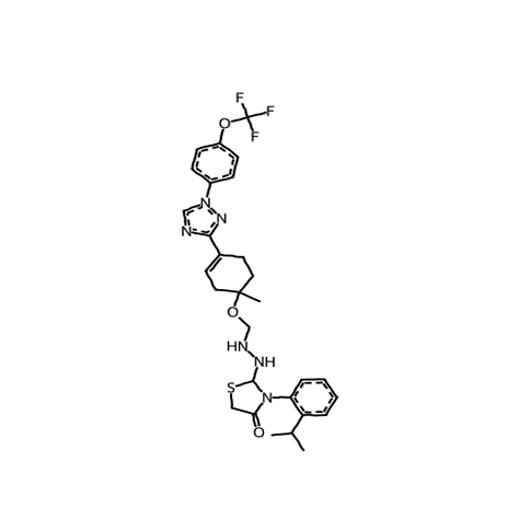 CC(C)c1ccccc1N1C(=O)CSC1NNCOC1(C)CC=C(c2ncn(-c3ccc(OC(F)(F)F)cc3)n2)CC1